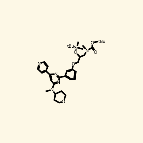 CN(CC(COc1cccc(-c2nc(-c3ccncc3)cc(N(C)C3CCOCC3)n2)c1)O[Si](C)(C)C(C)(C)C)C(=O)OC(C)(C)C